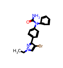 CCn1cc(Br)c(-c2ccc(N(C(N)=O)c3ccccc3)cc2)n1